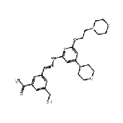 NC(=O)c1cc(C=NNc2cc(N3CCOCC3)cc(OCCN3CCOCC3)n2)cc(CO)c1